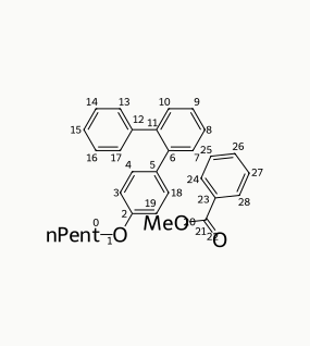 CCCCCOc1ccc(-c2ccccc2-c2ccccc2)cc1.COC(=O)c1ccccc1